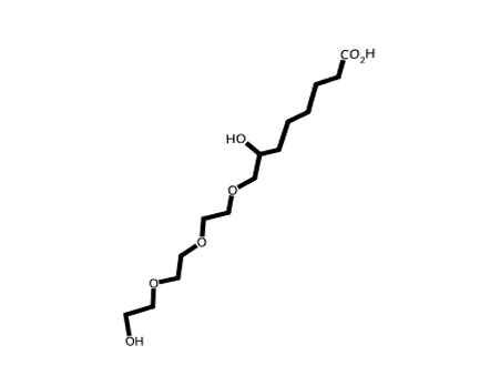 O=C(O)CCCCCC(O)COCCOCCOCCO